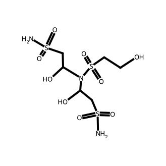 NS(=O)(=O)CC(O)N(C(O)CS(N)(=O)=O)S(=O)(=O)CCO